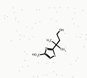 CC(C)(CCO)c1nc(C(=O)O)cs1